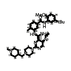 C=C/N=C1/C=NC(N2CCN(CC3CCN(C)CC3)CC2)=N/C1=C(/N)Nc1cc(C(=O)Nc2cc(C(C)(C)C)ccc2OC)ccc1C